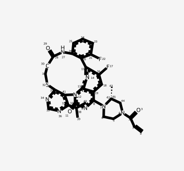 C=CC(=O)N1CCN(c2nc(=O)n3c4nc(c(F)cc24)-c2c(F)cccc2NC(=O)CCSc2ncnc(C(C)C)c2-3)[C@H](C)C1